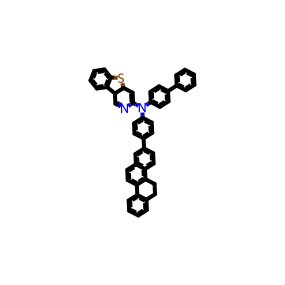 C1=NC(N(c2ccc(-c3ccccc3)cc2)c2ccc(-c3ccc4c5c(ccc4c3)-c3ccccc3CC5)cc2)=CC2Sc3ccccc3C12